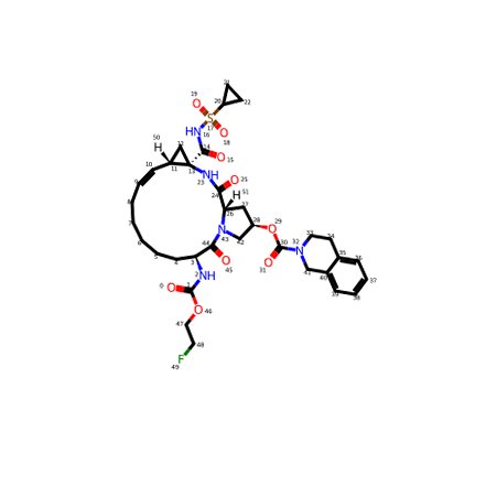 O=C(N[C@H]1CCCCC/C=C\[C@@H]2C[C@@]2(C(=O)NS(=O)(=O)C2CC2)NC(=O)[C@@H]2C[C@@H](OC(=O)N3CCc4ccccc4C3)CN2C1=O)OCCF